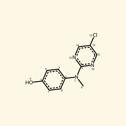 CN(c1ccc(O)cc1)c1ncc(Cl)cn1